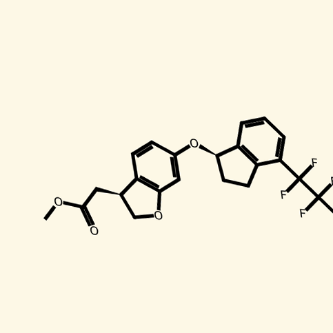 COC(=O)C[C@@H]1COc2cc(O[C@@H]3CCc4c3cccc4C(F)(F)C(F)(F)F)ccc21